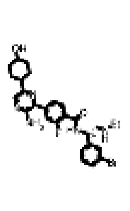 CCNC[C@@H](NC(=O)c1ccc(-c2nc(C3CCC(O)CC3)cnc2N)cc1F)c1cccc(Br)c1